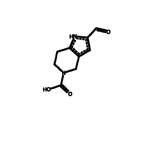 O=Cc1cc2c([nH]1)CCN(C(=O)O)C2